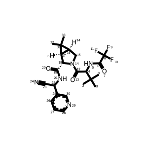 CC(C)(C)C(NC(=O)C(F)(F)F)C(=O)N1C[C@H]2[C@@H]([C@H]1C(=O)NC(C#N)c1cccnc1)C2(C)C